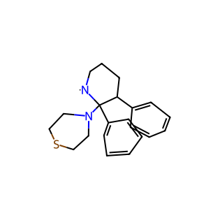 c1ccc(C2CCC[N]C2(c2ccccc2)N2CCSCC2)cc1